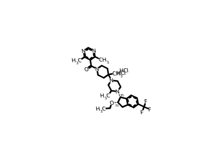 CCO[C@H]1Cc2cc(C(F)(F)F)ccc2[C@H]1N1CCN(C2(C)CCN(C(=O)c3c(C)ncnc3C)CC2)CC1C.Cl.Cl